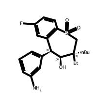 CCCC[C@@]1(CC)CS(=O)(=O)c2ccc(F)cc2[C@H](c2cccc(N)c2)[C@@H]1O